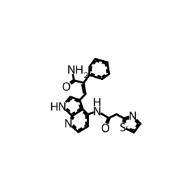 NC(=O)C(=Cc1c[nH]c2nccc(NC(=O)Cc3nccs3)c12)c1ccccc1